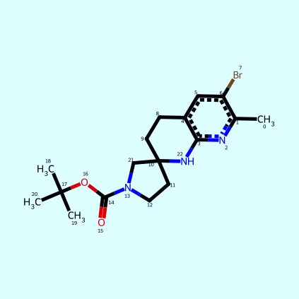 Cc1nc2c(cc1Br)CCC1(CCN(C(=O)OC(C)(C)C)C1)N2